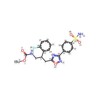 CC(C)(C)OC(=O)NCC(Cc1nc(-c2ccc(S(N)(=O)=O)cc2)no1)c1ccccc1F